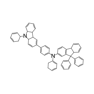 C1=CCCC(N(c2ccc(C3=CC4C5C=CC=CC5N(C5C=CC=CC5)C4C=C3)cc2)c2ccc3c(c2)C(c2ccccc2)(c2ccccc2)C2C=CC=CC32)=C1